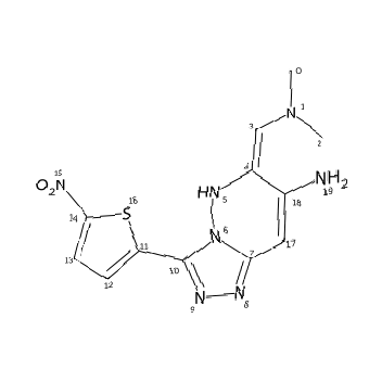 CN(C)C=C1Nn2c(nnc2-c2ccc([N+](=O)[O-])s2)C=C1N